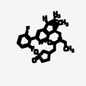 CCN(C[C@@]12CC[C@@H](c3cc(-c4c(F)cccc4F)nnc31)C2(C)C)C(=O)CC1CCS(=O)(=O)C1